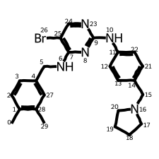 Cc1ccc(CNc2nc(Nc3ccc(CN4CCCC4)cc3)ncc2Br)cc1C